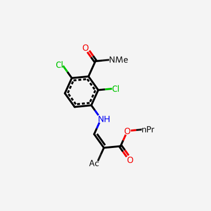 CCCOC(=O)C(=CNc1ccc(Cl)c(C(=O)NC)c1Cl)C(C)=O